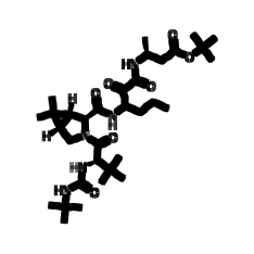 CCCC(NC(=O)[C@@H]1[C@@H]2[C@H](CN1C(=O)[C@@H](NC(=O)NC(C)(C)C)C(C)(C)C)C2(C)C)C(=O)C(=O)N[C@@H](C)CC(=O)OC(C)(C)C